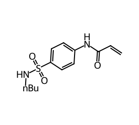 C=CC(=O)Nc1ccc(S(=O)(=O)NCCCC)cc1